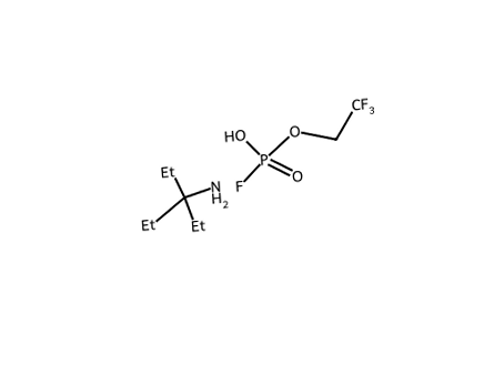 CCC(N)(CC)CC.O=P(O)(F)OCC(F)(F)F